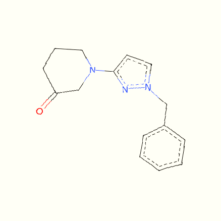 O=C1CCCN(c2ccn(Cc3ccccc3)n2)C1